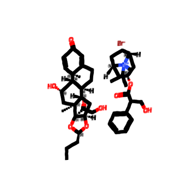 CC(C)[N+]1(C)[C@@H]2CC[C@H]1C[C@@H](OC(=O)C(CO)c1ccccc1)C2.CCC[C@@H]1O[C@@H]2C[C@H]3[C@@H]4CCC5=CC(=O)C=C[C@]5(C)[C@H]4[C@@H](O)C[C@]3(C)[C@]2(C(=O)CO)O1.[Br-]